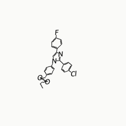 CCS(=O)(=O)c1ccc(-n2cc(-c3ccc(F)cc3)nc2-c2ccc(Cl)cc2)cc1